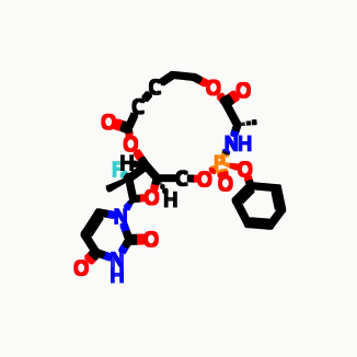 C[C@@H]1N[P@@](=O)(Oc2ccccc2)OC[C@H]2O[C@@H](n3ccc(=O)[nH]c3=O)[C@](C)(F)[C@@H]2OC(=O)CCCCOC1=O